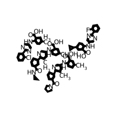 Cc1ccc(Nc2cnc(-c3cccc(C(=O)N4CCCC4)c3)c(C)c2)c(C(=O)O)c1.Cc1ccc(Nc2cnc(-c3cccc(C(=O)NC4CC4)c3)c(C)c2)c(C(=O)O)c1.Cc1ccc(Nc2cnc(-c3ccccc3Cl)nc2)c(C(=O)O)c1.O=C(O)c1cc(C2CC2)ccc1Nc1cnc(-c2ccccc2F)nc1